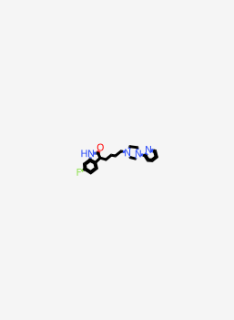 O=C1Nc2cc(F)ccc2C1CCCCN1CCN(c2ccccn2)CC1